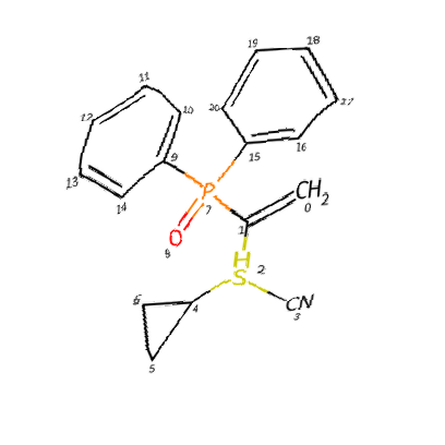 C=C([SH](C#N)C1CC1)P(=O)(c1ccccc1)c1ccccc1